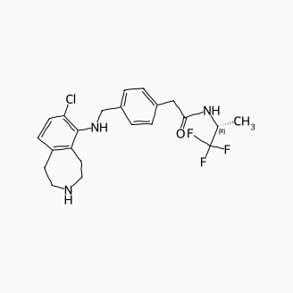 C[C@@H](NC(=O)Cc1ccc(CNc2c(Cl)ccc3c2CCNCC3)cc1)C(F)(F)F